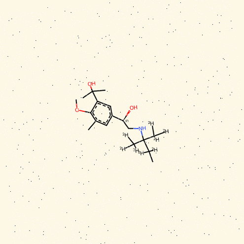 [2H]C([2H])([2H])C(NC[C@H](O)c1cc(C)c(OC)c(C(C)(C)O)c1)(C([2H])([2H])[2H])C([2H])([2H])C